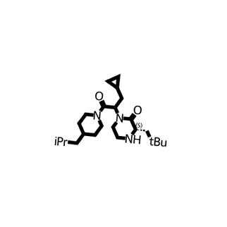 CC(C)CC1CCN(C(=O)C(CC2CC2)N2CCN[C@@H](CC(C)(C)C)C2=O)CC1